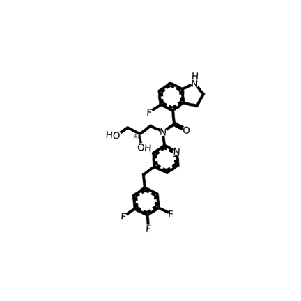 O=C(c1c(F)ccc2c1CCN2)N(C[C@@H](O)CO)c1cc(Cc2cc(F)c(F)c(F)c2)ccn1